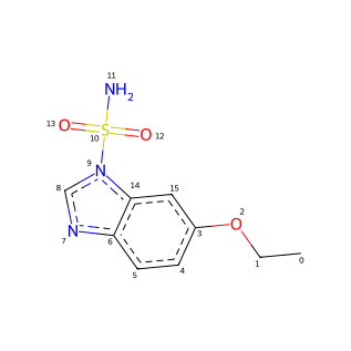 CCOc1ccc2ncn(S(N)(=O)=O)c2c1